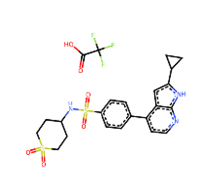 O=C(O)C(F)(F)F.O=S1(=O)CCC(NS(=O)(=O)c2ccc(-c3ccnc4[nH]c(C5CC5)cc34)cc2)CC1